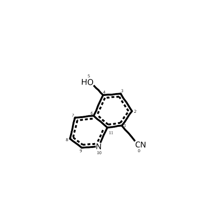 N#Cc1ccc(O)c2cccnc12